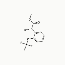 COC(=O)C(Br)c1ccccc1OC(F)(F)F